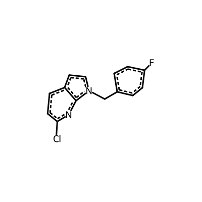 Fc1ccc(Cn2ccc3ccc(Cl)nc32)cc1